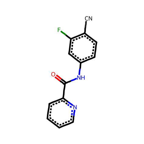 N#Cc1ccc(NC(=O)c2ccccn2)cc1F